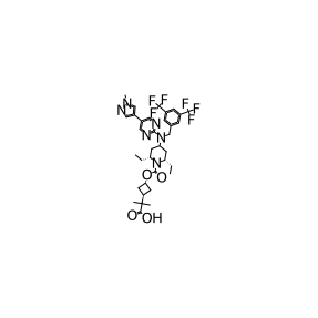 CC[C@@H]1CC(N(Cc2cc(C(F)(F)F)cc(C(F)(F)F)c2)c2ncc(-c3cnn(C)c3)cn2)C[C@H](CC)N1C(=O)O[C@H]1C[C@H](C(C)(C)C(=O)O)C1